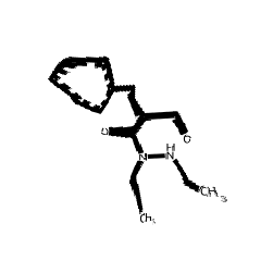 CCNN(CC)C(=O)C([C]=O)=Cc1ccccc1